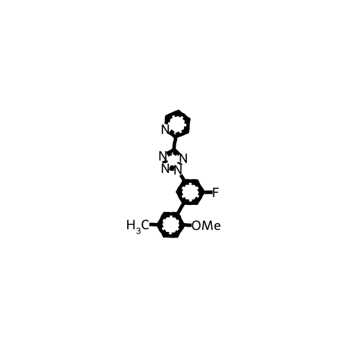 COc1ccc(C)cc1-c1cc(F)cc(-n2nnc(-c3ccccn3)n2)c1